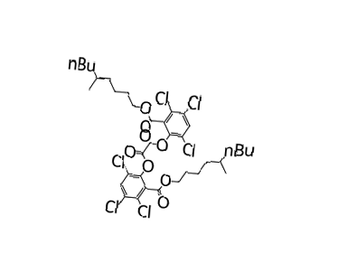 CCCCC(C)CCCCOC(=O)c1c(Cl)c(Cl)cc(Cl)c1OC(=O)C(=O)Oc1c(Cl)cc(Cl)c(Cl)c1C(=O)OCCCCC(C)CCCC